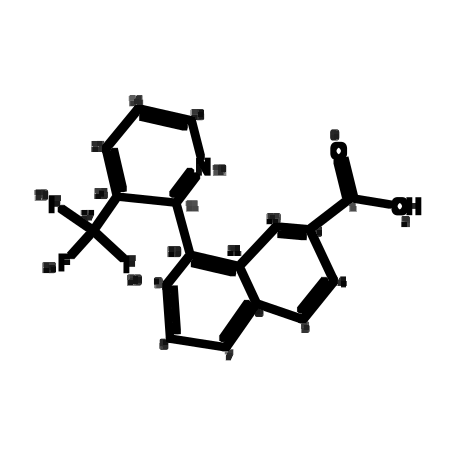 O=C(O)c1ccc2cccc(-c3ncccc3C(F)(F)F)c2c1